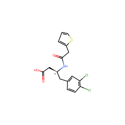 O=C(O)C[C@H](Cc1ccc(Cl)c(Cl)c1)NC(=O)Cc1cccs1